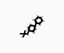 CC(C)(C)Cc1ccc(-c2ccccc2)cc1